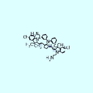 CC1(C)C(/C=C/C2=C(N(c3ccccc3)c3ccccc3)C(=C/C=C3/N(CCN)c4ccc(Cl)cc4C3(C)C)/CC2)=[N+](CCN)c2ccc(Cl)cc21